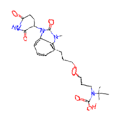 Cn1c(=O)n(C2CCC(=O)NC2=O)c2cccc(CCCOCCCN(C(=O)O)C(C)(C)C)c21